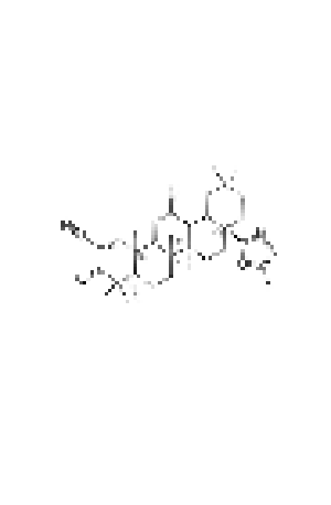 Cc1nnc([C@]23CCC(C)(C)CC2C2C(=O)C=C4[C@@]5(C)C=C(C#N)C(=O)C(C)(C)[C@@H]5CC[C@@]4(C)[C@]2(C)CC3)o1